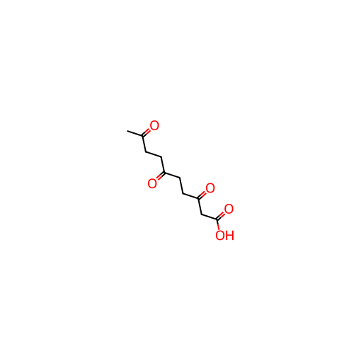 CC(=O)CCC(=O)CCC(=O)CC(=O)O